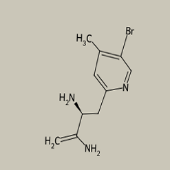 C=C(N)[C@@H](N)Cc1cc(C)c(Br)cn1